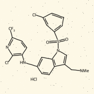 CNCc1cn(S(=O)(=O)c2cccc(Cl)c2)c2cc(Nc3ccc(C(F)(F)F)nc3Cl)ccc12.Cl